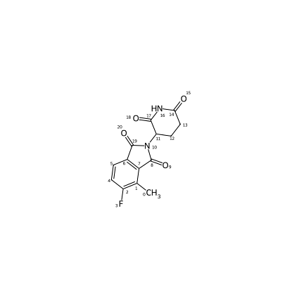 Cc1c(F)ccc2c1C(=O)N(C1CCC(=O)NC1=O)C2=O